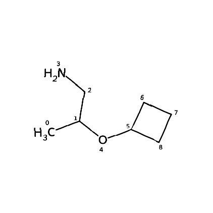 CC(CN)OC1CCC1